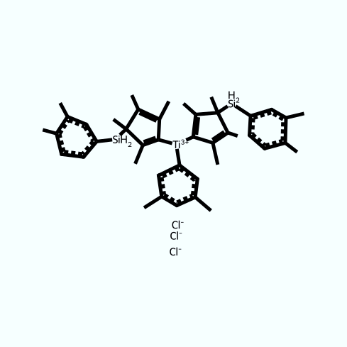 CC1=C(C)C(C)([SiH2]c2ccc(C)c(C)c2)C(C)=[C]1[Ti+3]([C]1=C(C)C(C)([SiH2]c2ccc(C)c(C)c2)C(C)=C1C)[c]1cc(C)cc(C)c1.[Cl-].[Cl-].[Cl-]